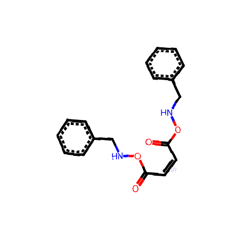 O=C(/C=C\C(=O)ONCc1ccccc1)ONCc1ccccc1